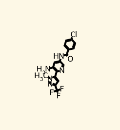 Cn1nc(C(F)(F)F)cc1-c1ncc(NC(=O)c2ccc(Cl)cc2)cc1N